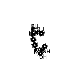 O=C([C@H](O)c1ccccc1)N1C[C@H](O)C[C@H]1c1ncc(-c2ccc(-c3ccc(-c4cnc([C@@H]5C[C@@H](O)CN5C(=O)[C@H](O)c5ccccc5)[nH]4)cc3)cc2)[nH]1